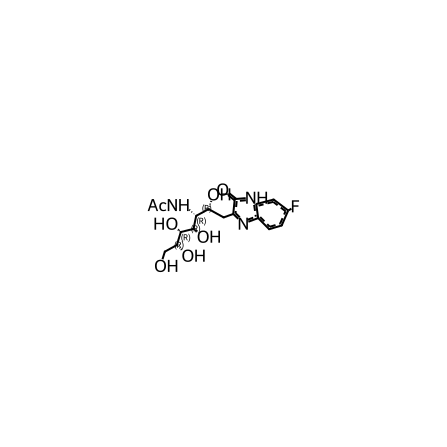 CC(=O)N[C@@H]([C@@H](O)[C@@H](O)[C@H](O)CO)[C@H](O)Cc1nc2ccc(F)cc2[nH]c1=O